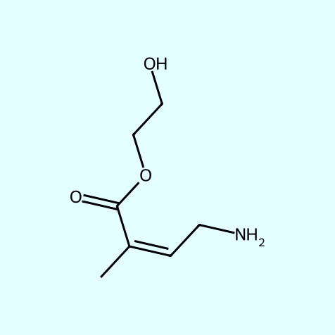 CC(=CCN)C(=O)OCCO